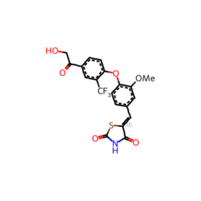 COc1cc(/C=C2\SC(=O)NC2=O)ccc1Oc1ccc(C(=O)CO)cc1C(F)(F)F